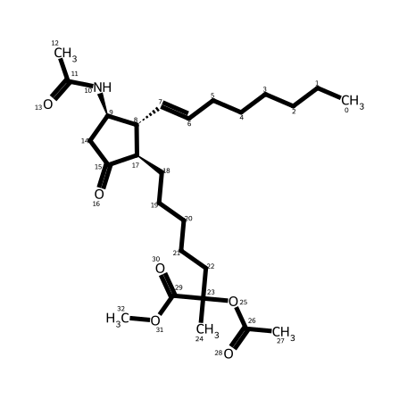 CCCCCCC=C[C@H]1[C@H](NC(C)=O)CC(=O)[C@@H]1CCCCCC(C)(OC(C)=O)C(=O)OC